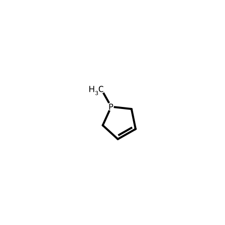 CP1CC=CC1